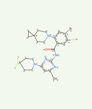 Cc1cc(N2CCC(F)(F)CC2)nc(NC(=O)c2cc(F)c(Br)cc2N2CCC3(CC2)CC3)n1